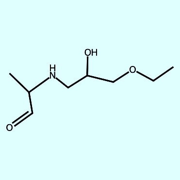 CCOCC(O)CNC(C)C=O